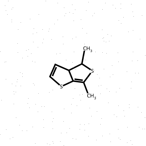 CC1=C2SC=CC2C(C)S1